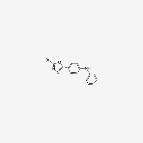 Brc1nnc(-c2ccc(Nc3ccccc3)cc2)o1